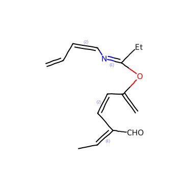 C=C/C=C\N=C(/CC)OC(=C)/C=C\C(C=O)=C/C